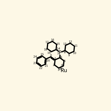 C(=C1CCCCC1P(C1CCCCC1)C1CCCCC1)c1ccccc1.[Ru]